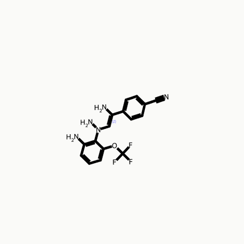 N#Cc1ccc(/C(N)=C/N(N)c2c(N)cccc2OC(F)(F)F)cc1